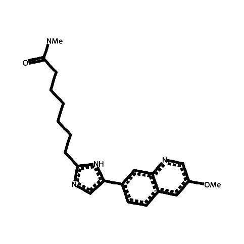 CNC(=O)CCCCCCc1ncc(-c2ccc3cc(OC)cnc3c2)[nH]1